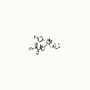 CC(C)NC(=O)n1ccc(-c2c(-c3ccc(F)cc3)noc2CN2CCOCC2)n1